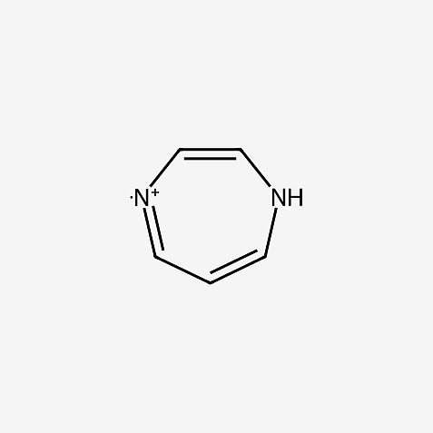 C1=CNC=C[N+]=C1